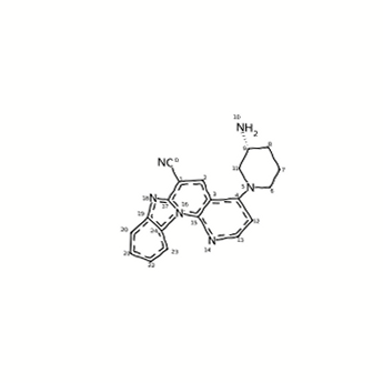 N#Cc1cc2c(N3CCC[C@@H](N)C3)ccnc2n2c1nc1ccccc12